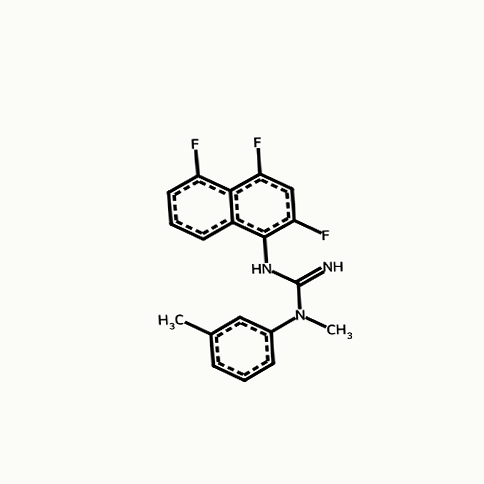 Cc1cccc(N(C)C(=N)Nc2c(F)cc(F)c3c(F)cccc23)c1